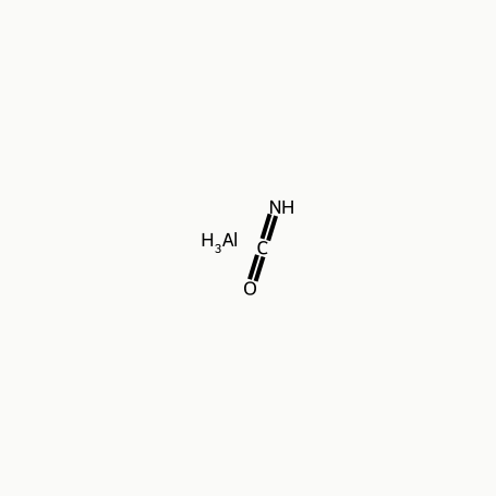 N=C=O.[AlH3]